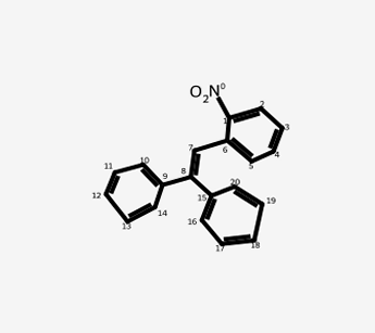 O=[N+]([O-])c1ccccc1C=C(c1ccccc1)c1ccccc1